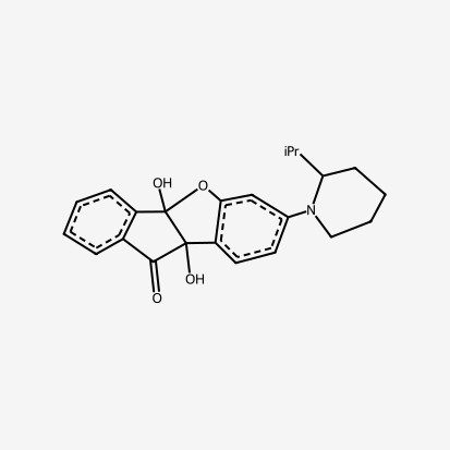 CC(C)C1CCCCN1c1ccc2c(c1)OC1(O)c3ccccc3C(=O)C21O